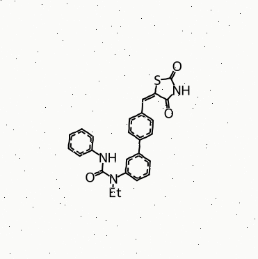 CCN(C(=O)Nc1ccccc1)c1cccc(-c2ccc(C=C3SC(=O)NC3=O)cc2)c1